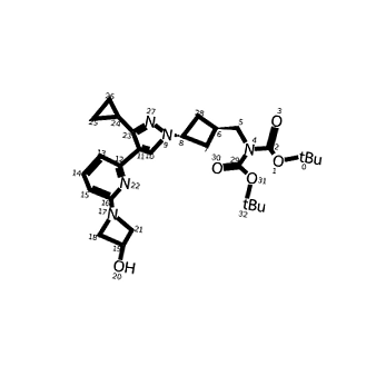 CC(C)(C)OC(=O)N(C[C@H]1C[C@H](n2cc(-c3cccc(N4CC(O)C4)n3)c(C3CC3)n2)C1)C(=O)OC(C)(C)C